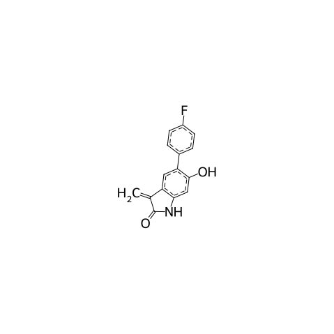 C=C1C(=O)Nc2cc(O)c(-c3ccc(F)cc3)cc21